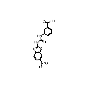 O=C(Nc1cccc(C(=O)O)c1)Nc1nc2ccc([N+](=O)[O-])cc2s1